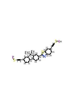 CCC1(CC)c2cc(C#CSI)ccc2-c2ccc(-c3nc4ccc(C#CSI)cc4s3)cc21